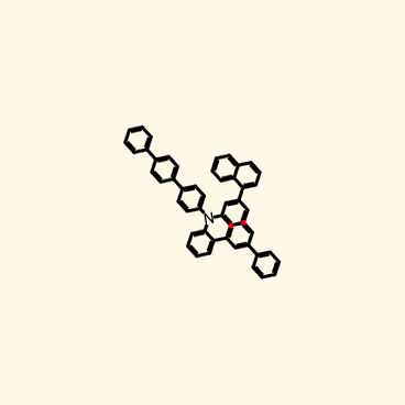 c1ccc(-c2ccc(-c3ccc(N(c4cccc(-c5cccc6ccccc56)c4)c4ccccc4-c4cccc(-c5ccccc5)c4)cc3)cc2)cc1